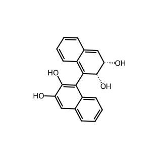 Oc1cc2ccccc2c(C2=c3ccccc3=C[C@H](O)[C@@H]2O)c1O